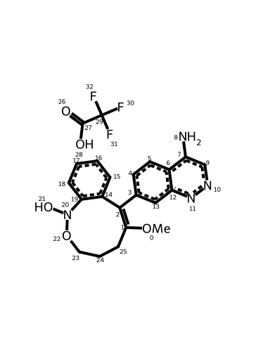 COC1=C(c2ccc3c(N)cnnc3c2)c2ccccc2N(O)OCCC1.O=C(O)C(F)(F)F